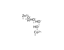 [Co+2].[OH-].[OH-].[OH-].[OH-].[Zn+2]